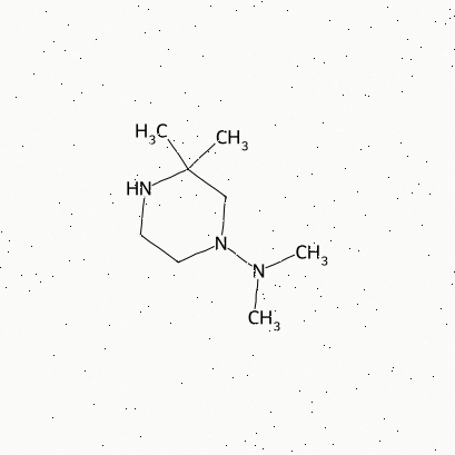 CN(C)N1CCNC(C)(C)C1